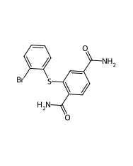 NC(=O)c1ccc(C(N)=O)c(Sc2ccccc2Br)c1